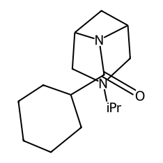 CC(C)N1CC2CC(C1)N2C(=O)C1CCCCC1